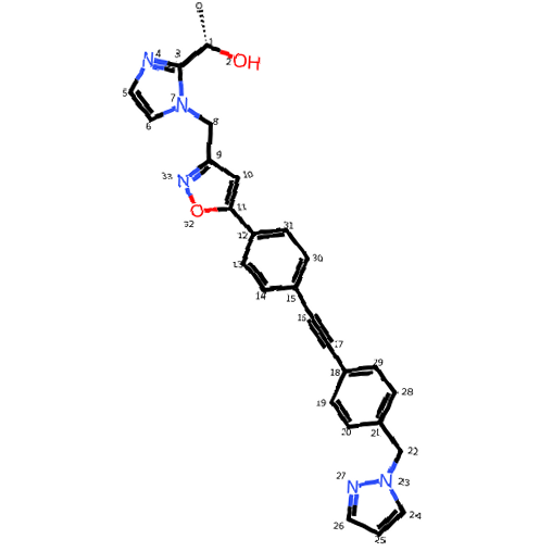 C[C@H](O)c1nccn1Cc1cc(-c2ccc(C#Cc3ccc(Cn4cccn4)cc3)cc2)on1